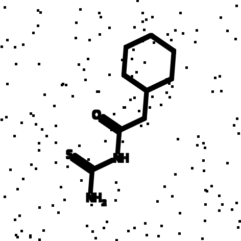 NC(=S)NC(=O)CC1CCCCC1